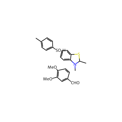 CC1Sc2ccccc2N1C.COc1ccc(C=O)cc1OC.Cc1ccc(S(=O)(=O)O)cc1